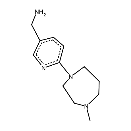 CN1CCCN(c2ccc(CN)cn2)CC1